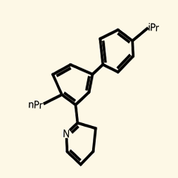 CCCc1ccc(-c2ccc(C(C)C)cc2)cc1C1=NC=CCC1